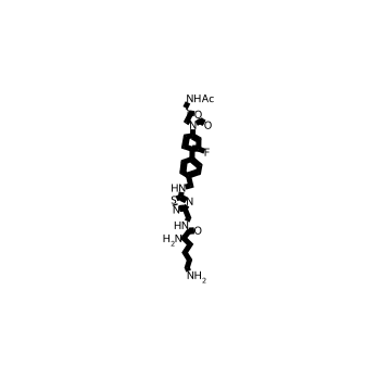 CC(=O)NC[C@H]1CN(c2ccc(-c3ccc(CNc4nc(CNC(=O)[C@@H](N)CCCCN)ns4)cc3)c(F)c2)C(=O)O1